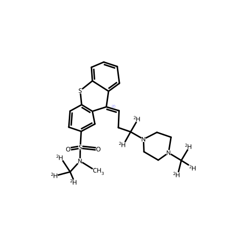 [2H]C([2H])([2H])N1CCN(C([2H])([2H])C/C=C2/c3ccccc3Sc3ccc(S(=O)(=O)N(C)C([2H])([2H])[2H])cc32)CC1